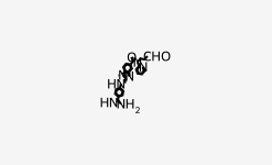 Cn1c(CNc2ccc(C(=N)N)cc2)nc2cc(C(=O)N(CCC=O)c3ccccn3)ccc21